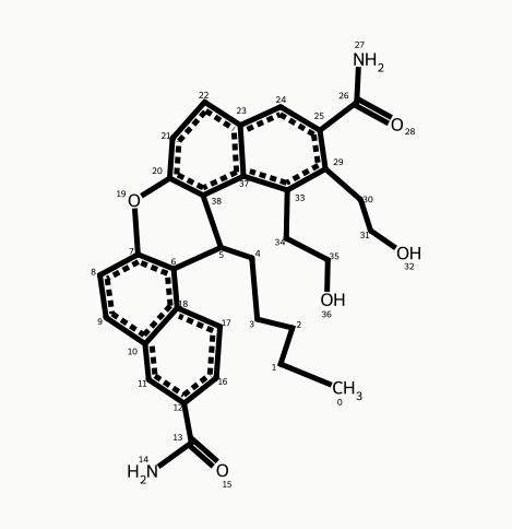 CCCCCC1c2c(ccc3cc(C(N)=O)ccc23)Oc2ccc3cc(C(N)=O)c(CCO)c(CCO)c3c21